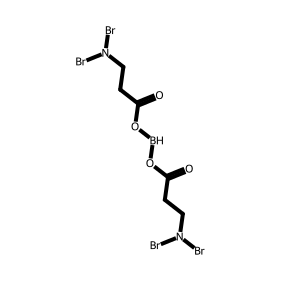 O=C(CCN(Br)Br)OBOC(=O)CCN(Br)Br